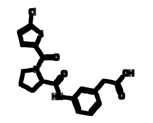 O=C(O)Cc1cccc(NC(=O)C2CCCN2C(=O)c2ccc(Cl)s2)c1